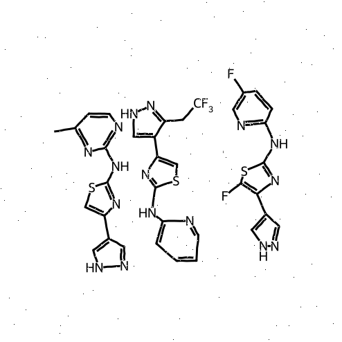 Cc1ccnc(Nc2nc(-c3cn[nH]c3)cs2)n1.FC(F)(F)Cc1n[nH]cc1-c1csc(Nc2ccccn2)n1.Fc1ccc(Nc2nc(-c3cn[nH]c3)c(F)s2)nc1